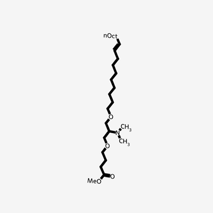 CCCCCCCCC=CCCCCCCCCOCC(COCCCC(=O)OC)N(C)C